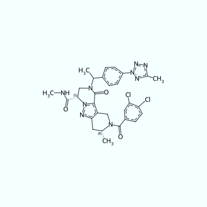 CNC(=O)[C@@H]1CN(C(C)c2ccc(-n3nnc(C)n3)cc2)C(=O)c2c3c(nn21)C[C@@H](C)N(C(=O)c1ccc(Cl)c(Cl)c1)C3